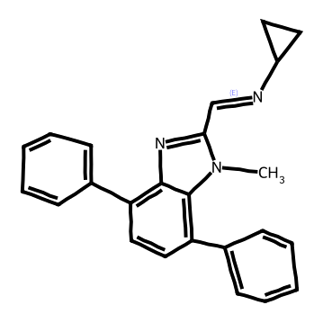 Cn1c(/C=N/C2CC2)nc2c(-c3ccccc3)ccc(-c3ccccc3)c21